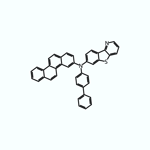 c1ccc(-c2ccc(N(c3ccc4c(c3)sc3cccnc34)c3ccc4ccc5c6ccccc6ccc5c4c3)cc2)cc1